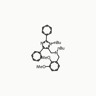 CCCCN(Cc1cccc(OC)c1OC)Cc1c(-c2ccccc2)nc(-c2ccccc2)n1CCCC